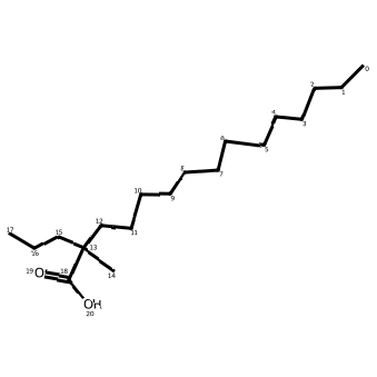 CCCCCCCCCCCCCC(C)(CCC)C(=O)O